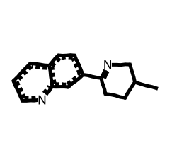 CC1CCC(c2ccc3cccnc3c2)=NC1